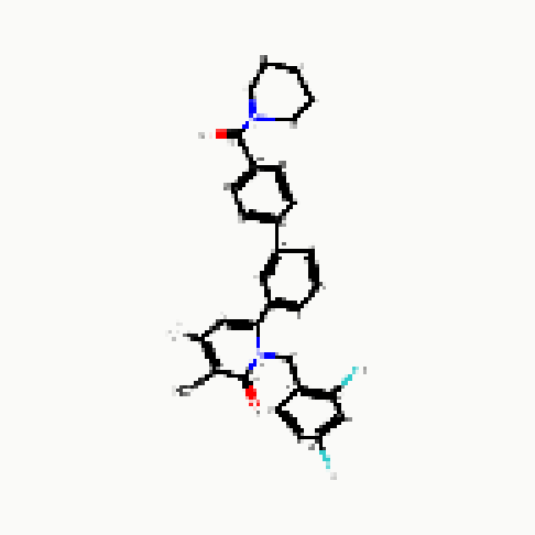 N#Cc1c(C(F)(F)F)cc(-c2cccc(-c3ccc(C(=O)N4CCCCC4)cc3)c2)n(Cc2ccc(F)cc2F)c1=O